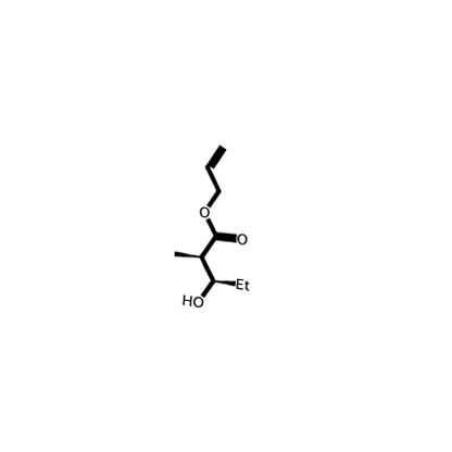 C=CCOC(=O)[C@H](C)[C@H](O)CC